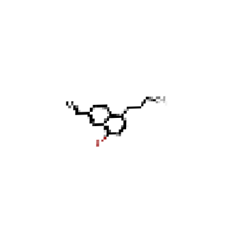 C=Cc1ccc2c(CCCC)ccc(Br)c2c1